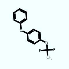 FC(F)(F)C(F)(F)Oc1ccc(Oc2ccccc2)cc1